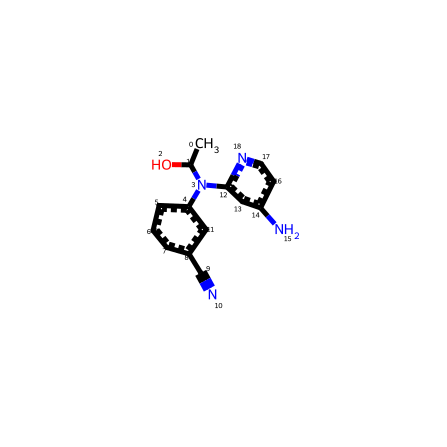 CC(O)N(c1cccc(C#N)c1)c1cc(N)ccn1